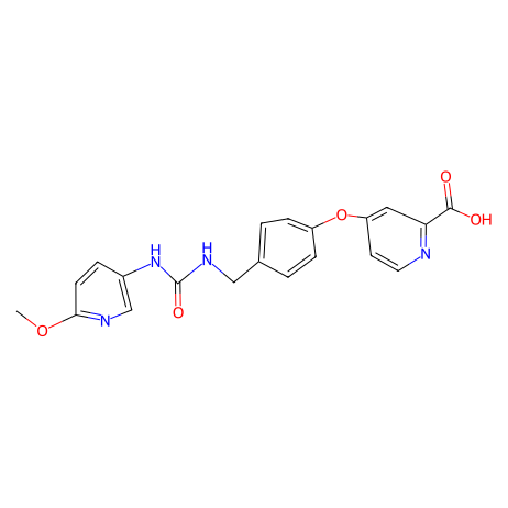 COc1ccc(NC(=O)NCc2ccc(Oc3ccnc(C(=O)O)c3)cc2)cn1